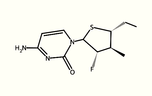 CC[C@H]1SC(n2ccc(N)nc2=O)[C@@H](F)[C@@H]1C